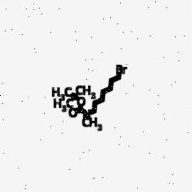 CN(CCCCCCCBr)C(=O)OC(C)(C)C